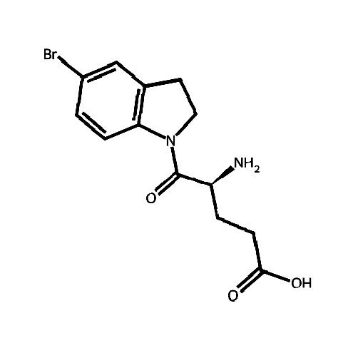 N[C@@H](CCC(=O)O)C(=O)N1CCc2cc(Br)ccc21